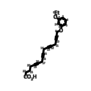 CCOc1cccc(OCC#CCC#CCC#CCC#CCCCC(=O)O)c1